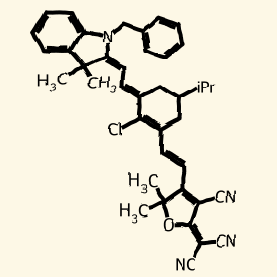 CC(C)C1CC(/C=C/C2=C(C#N)C(=C(C#N)C#N)OC2(C)C)=C(Cl)C(=C/C=C2/N(Cc3ccccc3)c3ccccc3C2(C)C)/C1